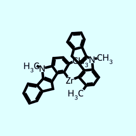 Cc1ccc2c(c3c(n2C)-c2ccccc2C3)[c]1[Zr][c]1c(C)ccc2c1c1c(n2C)-c2ccccc2C1